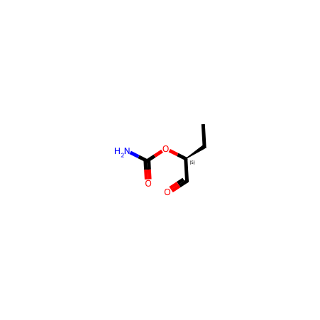 CC[C@@H](C=O)OC(N)=O